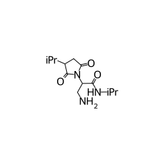 CC(C)NC(=O)C(CN)N1C(=O)CC(C(C)C)C1=O